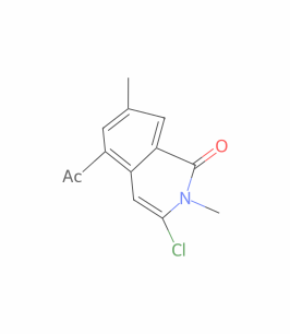 CC(=O)c1cc(C)cc2c(=O)n(C)c(Cl)cc12